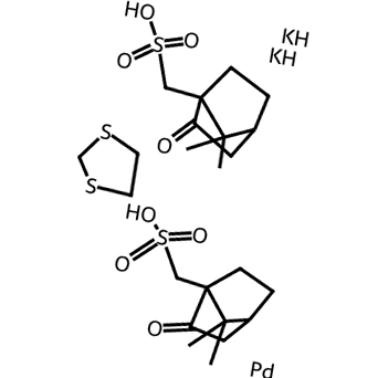 C1CSCS1.CC1(C)C2CCC1(CS(=O)(=O)O)C(=O)C2.CC1(C)C2CCC1(CS(=O)(=O)O)C(=O)C2.[KH].[KH].[Pd]